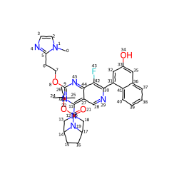 Cn1ccnc1CCOc1nc(N2CC3CCC(C2)N3C(=O)OC(C)(C)C)c2cnc(-c3cc(O)cc4ccccc34)c(F)c2n1